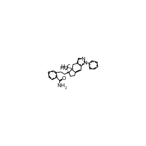 C[C@]12Cc3cnn(-c4ccccc4)c3C=C1CC[C@@]2(O)CCc1ccccc1C(N)=O